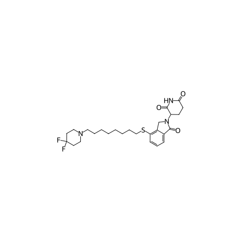 O=C1CCC(N2Cc3c(SCCCCCCCCN4CCC(F)(F)CC4)cccc3C2=O)C(=O)N1